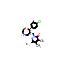 Cc1nn(C[C@@H]2CNCCO[C@H]2c2ccc(Cl)c(I)c2)c(=O)c(C#N)c1C